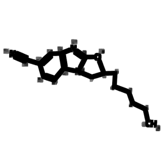 CCCCCCC1Cn2c(nc3cc(C#N)ccc32)O1